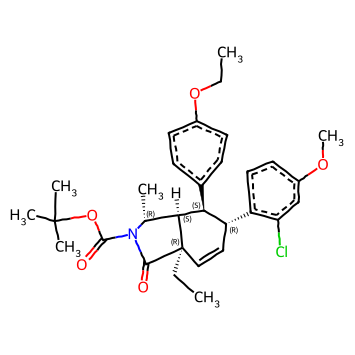 CCOc1ccc([C@@H]2[C@@H]3[C@@H](C)N(C(=O)OC(C)(C)C)C(=O)[C@]3(CC)C=C[C@H]2c2ccc(OC)cc2Cl)cc1